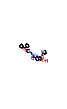 O=C(NCCN1CCC(OC(c2ccccc2)c2ccccc2)CC1)c1ccc2cc(O)c(OCc3ccccn3)cc2c1